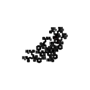 NC(=O)CCN(CCC(N)=O)S(=O)(=O)c1cccc(Nc2nc(Nc3cccc(S(=O)(=O)N(CCC(N)=O)CCC(N)=O)c3)nc(Nc3ccc(-c4ccccc4S(=O)(=O)O)c(S(=O)(=O)O)c3Nc3nc(Nc4cccc(S(=O)(=O)N(CCC(N)=O)CCC(N)=O)c4)nc(Nc4cccc(S(=O)(=O)N(CCC(N)=O)CCC(N)=O)c4)n3)n2)c1